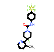 Cc1cccnc1C1(F)CCN(C(=O)Nc2ccc(S(F)(F)(F)(F)F)cc2)CC1